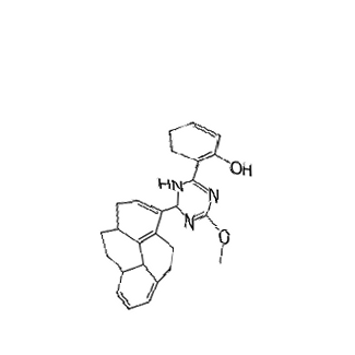 COC1=NC(C2=CCC3CCC4C=CC=C5CCC2=C3C54)NC(C2=C(O)C=CCC2)=N1